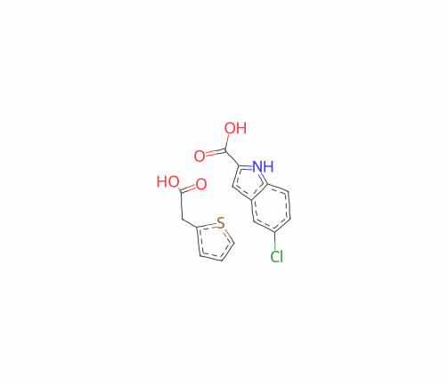 O=C(O)Cc1cccs1.O=C(O)c1cc2cc(Cl)ccc2[nH]1